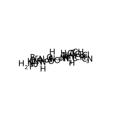 CC1(C)C(NC(=O)c2cnc(N3CCC(OCCNS(=O)(=O)c4ccc(Nc5ncc(Br)c(Nc6cccc(F)c6C(N)=O)n5)cc4)CC3)nc2)C(C)(C)C1Oc1ccc(C#N)c(Cl)c1